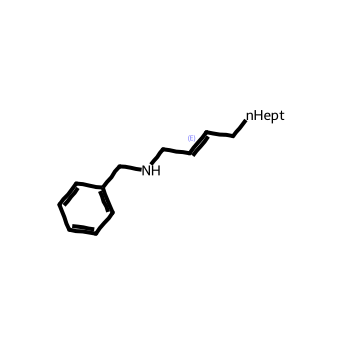 CCCCCCCC/C=C/CNCc1ccccc1